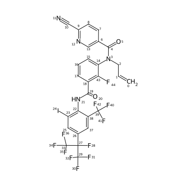 C=CCN(C(=O)c1ccc(C#N)nc1)c1cccc(C(=O)Nc2c(I)cc(C(F)(C(F)(F)F)C(F)(F)F)cc2C(F)(F)F)c1F